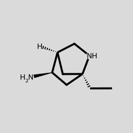 CC[C@]12C[C@H](CN1)[C@H](N)C2